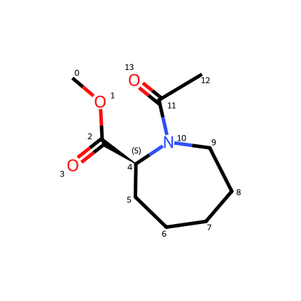 COC(=O)[C@@H]1CCCCCN1C(C)=O